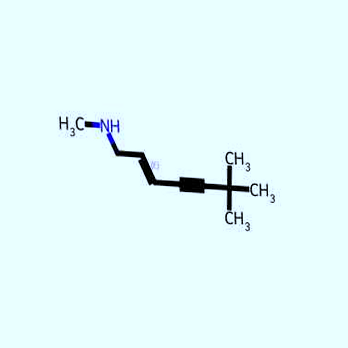 CNC/C=C/C#CC(C)(C)C